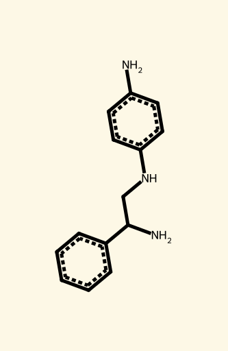 Nc1ccc(NCC(N)c2ccccc2)cc1